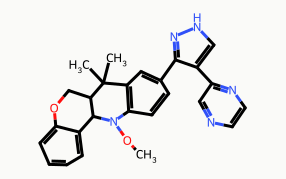 CON1c2ccc(-c3n[nH]cc3-c3cnccn3)cc2C(C)(C)C2COc3ccccc3C21